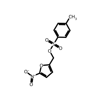 Cc1ccc(S(=O)(=O)OCc2ccc([N+](=O)[O-])o2)cc1